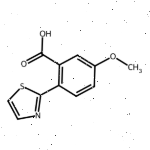 COc1ccc(-c2nccs2)c(C(=O)O)c1